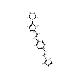 c1csc(/N=N/c2ccc(/N=N/c3ccc(N4CCCC4)s3)cc2)n1